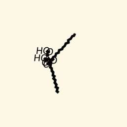 CCCCCCCCCCCCCCCC(=O)N(C(=O)CCCCCCCCCCCCCCC)[C@@H](CCC(=O)O)C(=O)O